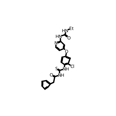 CCNC(=O)Nc1cc(Oc2ccc(NC(=S)NC(=O)Cc3ccccc3)c(Cl)c2)ccn1